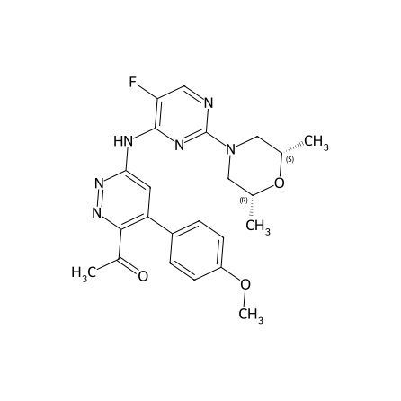 COc1ccc(-c2cc(Nc3nc(N4C[C@@H](C)O[C@@H](C)C4)ncc3F)nnc2C(C)=O)cc1